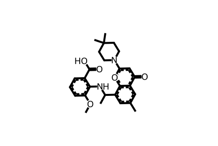 COc1cccc(C(=O)O)c1NC(C)c1cc(C)cc2c(=O)cc(N3CCC(C)(C)CC3)oc12